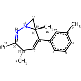 Cc1cccc(C2=C[C@H](C)C(C(C)C)=NN3C[C@]23C)c1